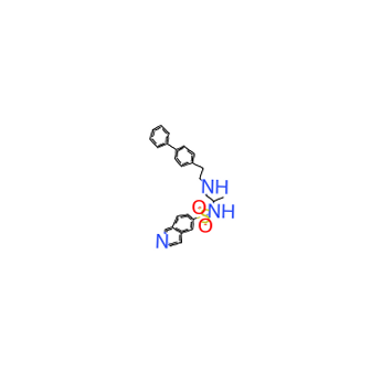 CC(CNCCc1ccc(-c2ccccc2)cc1)NS(=O)(=O)c1ccc2cnccc2c1